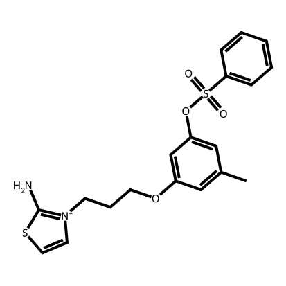 Cc1cc(OCCC[n+]2ccsc2N)cc(OS(=O)(=O)c2ccccc2)c1